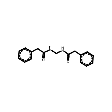 O=C(Cc1ccccc1)NCNC(=O)Cc1ccccc1